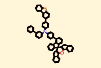 c1ccc(-c2cccc(N(c3ccc(-c4ccc5sc6ccccc6c5c4)cc3)c3ccc(-c4cccc5c4-c4ccccc4C54c5ccc6ccccc6c5Oc5c4ccc4ccccc54)cc3)c2)cc1